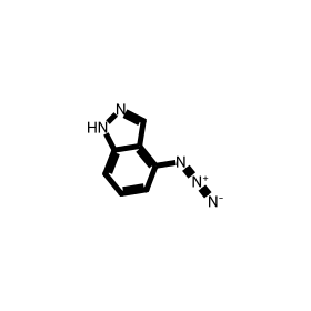 [N-]=[N+]=Nc1cccc2[nH]ncc12